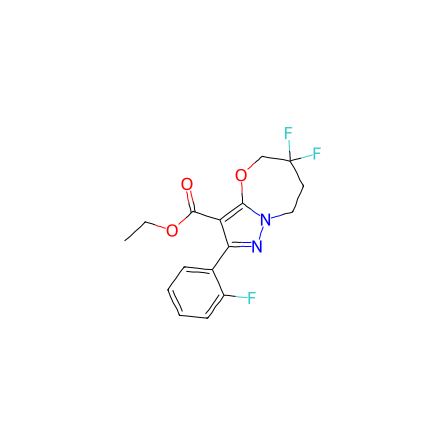 CCOC(=O)c1c(-c2ccccc2F)nn2c1OCC(F)(F)CC2